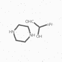 C1CNCCN1.CCCC(O)C=O